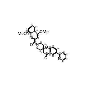 COc1cc(C(=O)N2CCC3(CC2)CC(=O)c2cc(-c4ncccn4)ccc2O3)nc2c(OC)cccc12